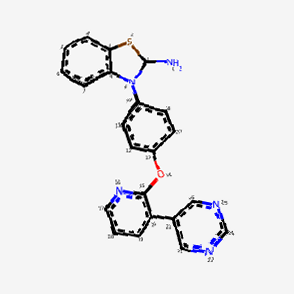 NC1Sc2ccccc2N1c1ccc(Oc2ncccc2-c2cncnc2)cc1